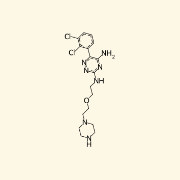 Nc1nc(NCCOCCN2CCNCC2)nnc1-c1cccc(Cl)c1Cl